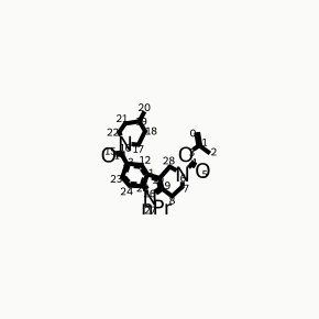 C=C(C)OC(=O)N1CCc2c(c3cc(C(=O)N4CCC(C)CC4)ccc3n2CCC)C1